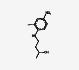 Cc1cc([N+](=O)[O-])ccc1NCCC(C)O